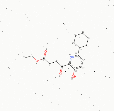 CCOC(=O)CCC(=O)c1nc(C2CCCCC2)ccc1O